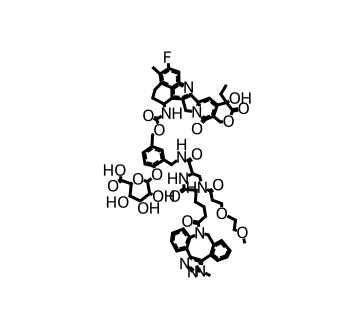 CCC1(O)C(=O)OCc2c1cc1n(c2=O)Cc2c-1nc1cc(F)c(C)c3c1c2C(NC(=O)OCc1ccc(OC2OC(C(=O)O)C(O)C(O)C2O)c(CNC(=O)C(CNC(=O)CCOCCOC)NC(=O)CCCCC(=O)N2Cc4ccccc4-c4c(nnn4C)-c4ccccc42)c1)CC3